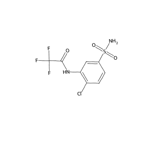 NS(=O)(=O)c1ccc(Cl)c(NC(=O)C(F)(F)F)c1